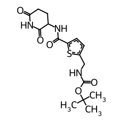 CC(C)(C)OC(=O)NCc1ccc(C(=O)NC2CCC(=O)NC2=O)s1